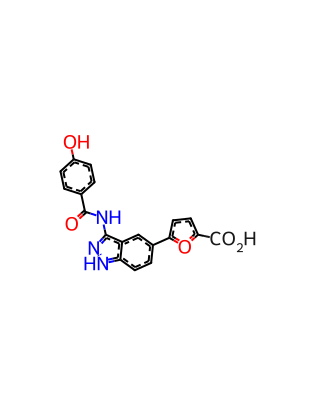 O=C(Nc1n[nH]c2ccc(-c3ccc(C(=O)O)o3)cc12)c1ccc(O)cc1